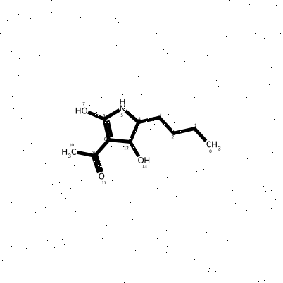 CCCCC1NC(O)=C(C(C)=O)C1O